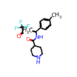 Cc1ccc(C(C)NC(=O)C2CCNCC2)cc1.O=CC(F)(F)F